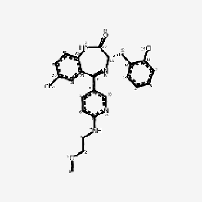 COCCNc1ccc(C2=N[C@@H](Cc3ccccc3Cl)C(=O)Nc3ccc(Cl)cc32)cn1